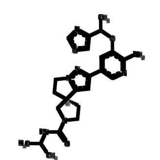 CC(C)NC(=O)N1CC[C@@]2(CCn3nc(-c4cnc(N)c(OC(C)c5cocn5)c4)cc32)C1